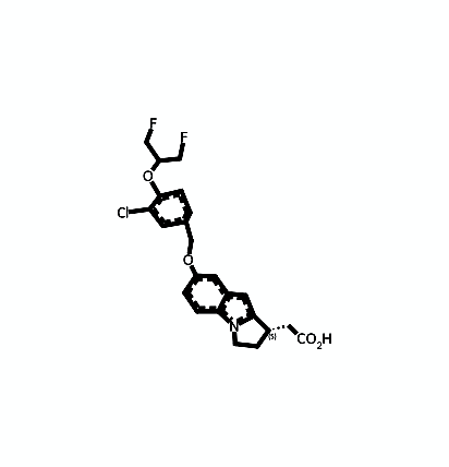 O=C(O)C[C@@H]1CCn2c1cc1cc(OCc3ccc(OC(CF)CF)c(Cl)c3)ccc12